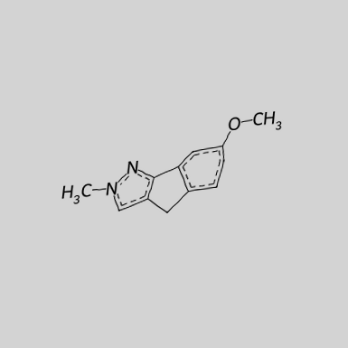 COc1ccc2c(c1)-c1nn(C)cc1C2